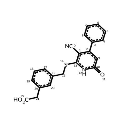 N#Cc1c(-c2ccccc2)cc(=O)[nH]c1SCc1cccc(CC(=O)O)c1